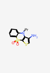 CC(C)N1c2ccccc2S(=O)(=O)c2scc(N)c21